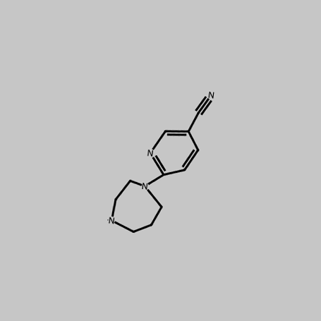 N#Cc1ccc(N2CCC[N]CC2)nc1